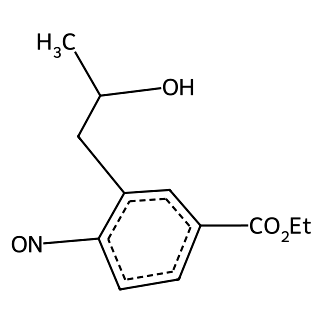 CCOC(=O)c1ccc(N=O)c(CC(C)O)c1